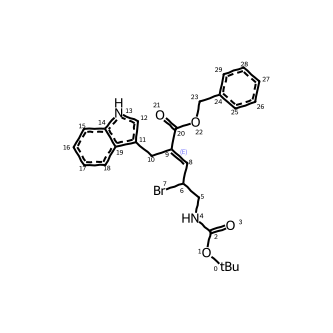 CC(C)(C)OC(=O)NCC(Br)/C=C(\Cc1c[nH]c2ccccc12)C(=O)OCc1ccccc1